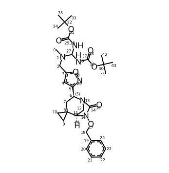 CN(Cc1cc([C@@H]2CC3(CC3)[C@H]3CN2C(=O)N3OCc2ccccc2)no1)C(NC(=O)OC(C)(C)C)NC(=O)OC(C)(C)C